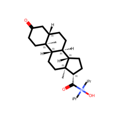 CC(C)[N+](O)(C(=O)[C@H]1CC[C@H]2[C@@H]3CC[C@H]4CC(=O)CC[C@]4(C)[C@H]3CC[C@]12C)C(C)C